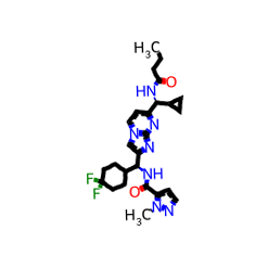 CCCC(=O)N[C@@H](c1ccn2cc([C@@H](NC(=O)c3ccnn3C)C3CCC(F)(F)CC3)nc2n1)C1CC1